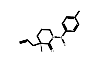 C=CC[C@]1(C)CCCN([S+]([O-])c2ccc(C)cc2)C1=O